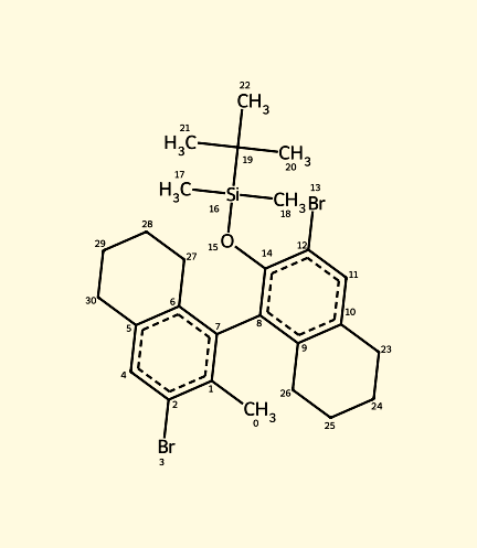 Cc1c(Br)cc2c(c1-c1c3c(cc(Br)c1O[Si](C)(C)C(C)(C)C)CCCC3)CCCC2